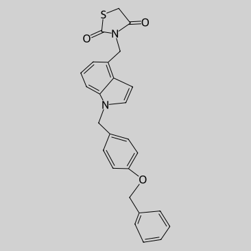 O=C1CSC(=O)N1Cc1cccc2c1ccn2Cc1ccc(OCc2ccccc2)cc1